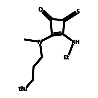 CCNc1c(N(C)CCCC(C)(C)C)c(=O)c1=S